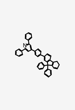 C1=CC2=C(CC1)c1ccc(-c3ccc(-c4cc(-c5ccccc5)nc(-c5ccccc5)c4)cc3)cc1C2(c1ccccc1)c1ccccc1